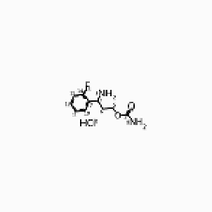 Cl.NC(=O)OCCC(N)c1ccccc1F